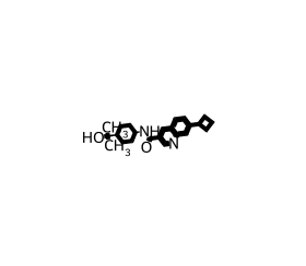 CC(C)(O)[C@H]1CC[C@H](NC(=O)c2cnc3cc(C4CCC4)ccc3c2)CC1